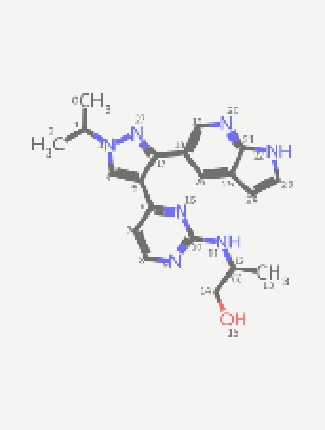 CC(C)n1cc(-c2ccnc(N[C@@H](C)CO)n2)c(-c2cnc3[nH]ccc3c2)n1